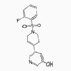 O=S(=O)(c1ccccc1F)N1CC=C(c2cncc(O)c2)CC1